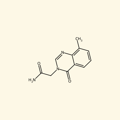 Cc1cccc2c(=O)n(CC(N)=O)cnc12